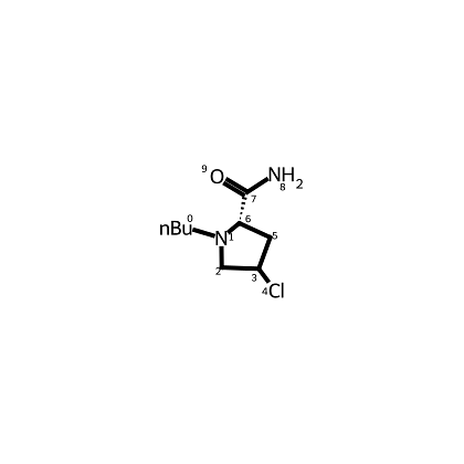 CCCCN1CC(Cl)C[C@H]1C(N)=O